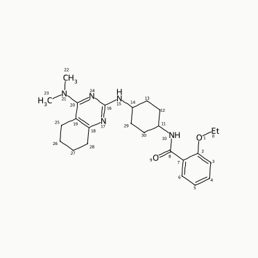 CCOc1ccccc1C(=O)NC1CCC(Nc2nc3c(c(N(C)C)n2)CCCC3)CC1